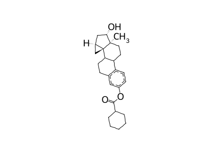 C[C@]12CCC3c4ccc(OC(=O)C5CCCCC5)cc4CCC3[C@@]13C[C@H]3C[C@@H]2O